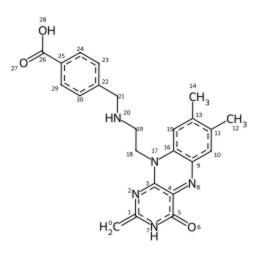 C=c1nc2c(c(=O)[nH]1)=Nc1cc(C)c(C)cc1N2CCNCc1ccc(C(=O)O)cc1